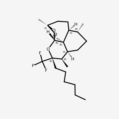 CCCCCC[C@@]1(C(F)(F)F)O[C@@H]2O[C@]3(C)CC[C@H]4[C@H](C)CC[C@@H]([C@H]1C)[C@@]24OO3